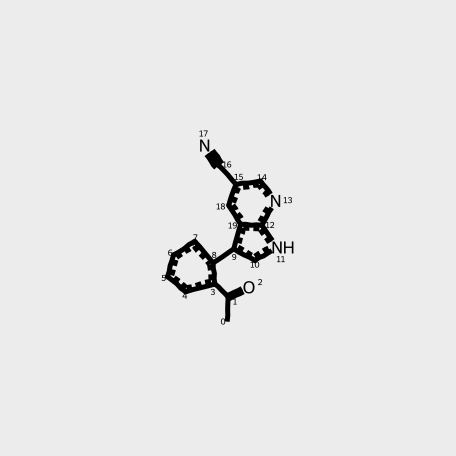 CC(=O)c1ccccc1-c1c[nH]c2ncc(C#N)cc12